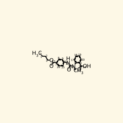 CCCCOC(=O)c1ccc(NC(=O)N(C)c2ccccc2C(=O)O)cc1